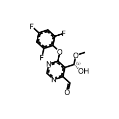 CO[C@H](O)c1c(C=O)ncnc1Oc1c(F)cc(F)cc1F